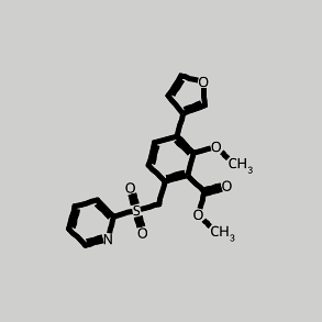 COC(=O)c1c(CS(=O)(=O)c2ccccn2)ccc(-c2ccoc2)c1OC